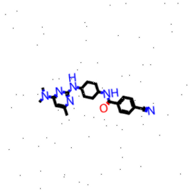 Cc1cc(N(C)C)nc(NC2CCC(NC(=O)c3ccc(C#N)cc3)CC2)n1